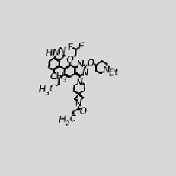 C=CC(=O)N1CC2(CCN(c3nc(OC4CCN(CC)CC4)nc4c(OCC(F)F)c(-c5c(C)ccc6[nH]ncc56)c(/C=C/C)cc34)CC2)C1